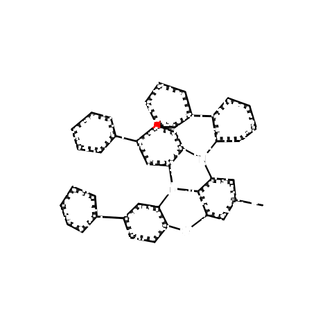 Cc1cc2c3c(c1)N(c1ccccc1-c1ccccc1)c1ccc(-c4ccccc4)cc1B3c1cc(-c3ccccc3)ccc1O2